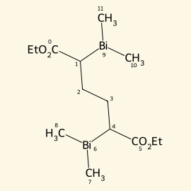 CCOC(=O)[CH](CC[CH](C(=O)OCC)[Bi]([CH3])[CH3])[Bi]([CH3])[CH3]